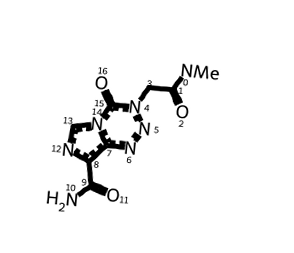 CNC(=O)Cn1nnc2c(C(N)=O)ncn2c1=O